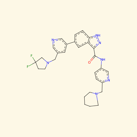 O=C(Nc1ccc(CN2CCCCC2)nc1)c1n[nH]c2ccc(-c3cncc(CN4CCC(F)(F)C4)c3)cc12